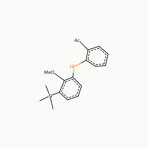 COc1c(Pc2ccccc2C(C)=O)cccc1[Si](C)(C)C